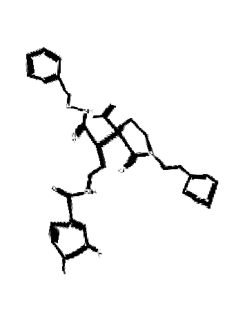 C=C(C)C1(C(CCNC(=O)c2ccc(F)c(F)c2)C(=O)NOCc2ccccc2)CCN(CCc2ccccc2)C1=O